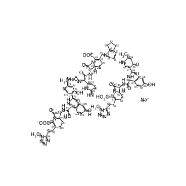 CO/N=C(\C(=O)N[C@@H]1C(=O)N2C(C(=O)[O-])=C(C[n+]3cccc4c3CCC4)CS[C@H]12)c1csc(=N)[nH]1.Cc1cc(=O)c(C(=O)N[C@@H](C(=O)N[C@@H]2C(=O)N3C(C(=O)O)=C(CSc4nnnn4C)CS[C@H]23)c2ccc(O)cc2)c[nH]1.Cc1cc(O)c(C(=O)N[C@@H](C(=O)N[C@@H]2C(=O)N3C(C(=O)[O-])=C(CSc4nnnn4C)CS[C@H]23)c2ccc(O)cc2)cn1.[Na+]